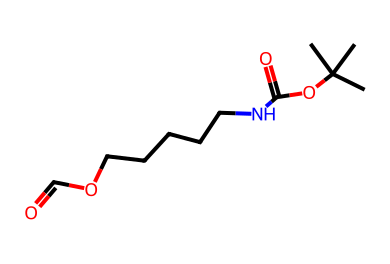 CC(C)(C)OC(=O)NCCCCCOC=O